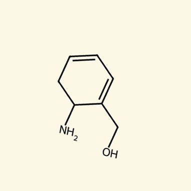 NC1CC=CC=C1CO